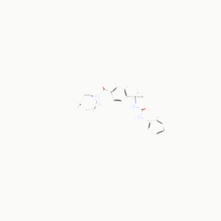 CC1(C)CC2CC(C)(CN2C(=O)c2ccc(C3(NC(=O)Nc4ccccc4)CC3)cc2)C1